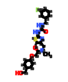 CN(Cc1csc(NC(=O)NCc2cccc(F)c2)n1)C(=O)COc1ccc(CO)cc1